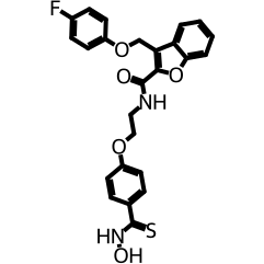 O=C(NCCOc1ccc(C(=S)NO)cc1)c1oc2ccccc2c1COc1ccc(F)cc1